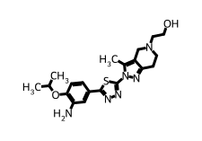 Cc1c2c(nn1-c1nnc(-c3ccc(OC(C)C)c(N)c3)s1)CCN(CCO)C2